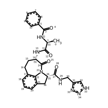 C[C@H](NC(=O)c1ccccc1)C(=O)N[C@H]1CCc2cccc3c2N(C1=O)[C@H](C(=O)NCc1c[nH]nn1)C3